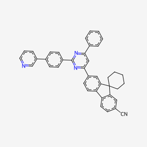 N#Cc1ccc2c(c1)C1(CCCCC1)c1cc(-c3cc(-c4ccccc4)nc(-c4ccc(-c5cccnc5)cc4)n3)ccc1-2